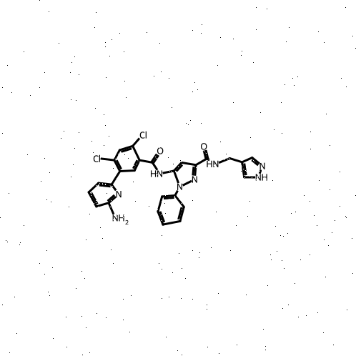 Nc1cccc(-c2cc(C(=O)Nc3cc(C(=O)NCc4cn[nH]c4)nn3-c3ccccc3)c(Cl)cc2Cl)n1